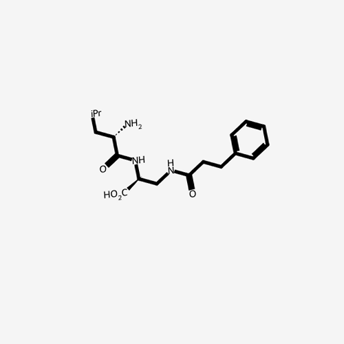 CC(C)C[C@H](N)C(=O)N[C@@H](CNC(=O)CCc1ccccc1)C(=O)O